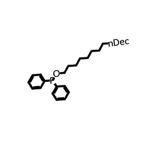 CCCCCCCCCCCCCCCCCCOP(c1ccccc1)c1ccccc1